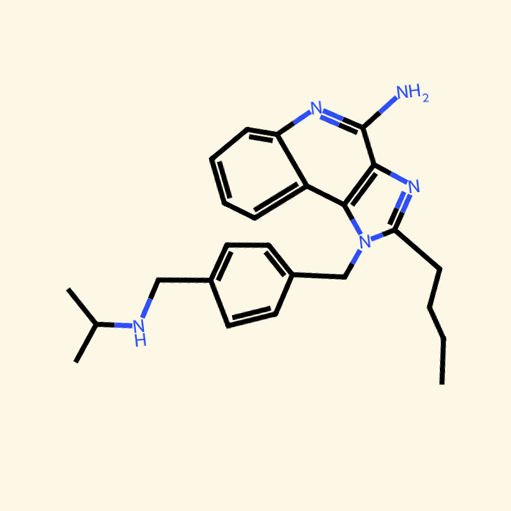 CCCCc1nc2c(N)nc3ccccc3c2n1Cc1ccc(CNC(C)C)cc1